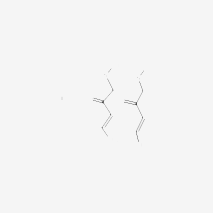 CC=CC(=O)CNC.CC=CC(=O)CNC.F.F.F